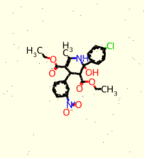 CCOC(=O)C1=C(C)NC(O)(c2ccc(Cl)cc2)C(C(=O)OCC)C1c1cccc([N+](=O)[O-])c1